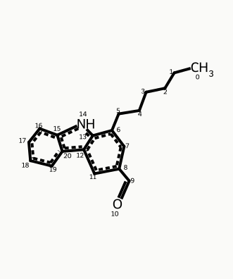 CCCCCCc1cc(C=O)cc2c1[nH]c1ccccc12